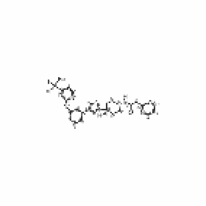 Cc1cc(Nc2nccc(C(F)(F)F)n2)cc(-c2cnc([C@]3(O)CC[C@H](NC(=O)Cc4ncccn4)CC3)s2)c1